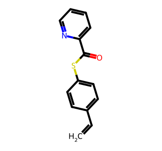 C=Cc1ccc(SC(=O)c2ccccn2)cc1